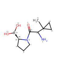 CC1(C(N)C(=O)N2CCC[C@H]2B(O)O)CC1